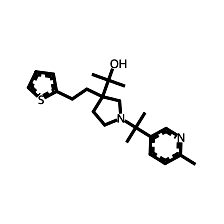 Cc1ccc(C(C)(C)N2CCC(CCc3cccs3)(C(C)(C)O)C2)cn1